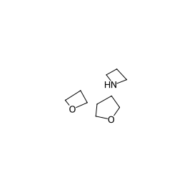 C1CCOC1.C1CNC1.C1COC1